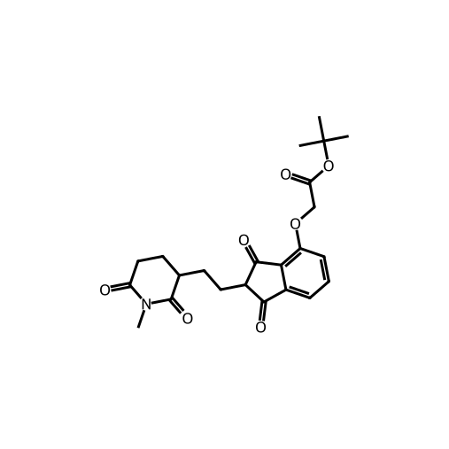 CN1C(=O)CCC(CCC2C(=O)c3cccc(OCC(=O)OC(C)(C)C)c3C2=O)C1=O